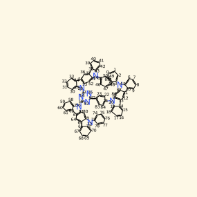 c1ccc(-n2c3ccccc3c3cc4c5ccccc5n(-c5ccc(-c6nc(-n7c8ccccc8c8cc9c%10ccccc%10n(-c%10ccccc%10)c9cc87)nc(-n7c8ccccc8c8cc9c%10ccccc%10n(-c%10ccccc%10)c9cc87)n6)cc5)c4cc32)cc1